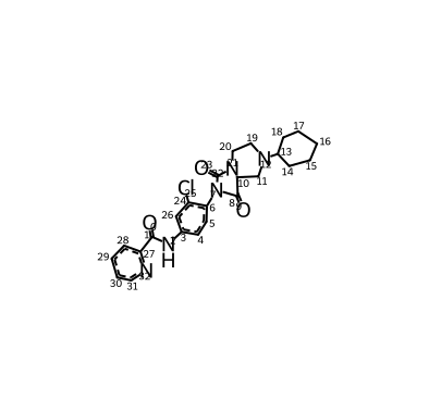 O=C(Nc1ccc(N2C(=O)C3CN(C4CCCCC4)CCN3C2=O)c(Cl)c1)c1ccccn1